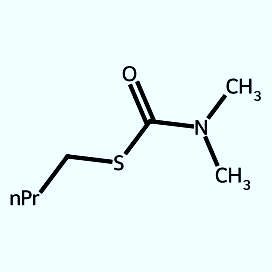 [CH2]CCCSC(=O)N(C)C